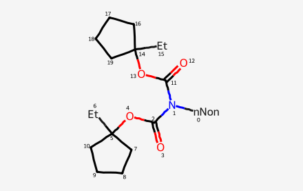 CCCCCCCCCN(C(=O)OC1(CC)CCCC1)C(=O)OC1(CC)CCCC1